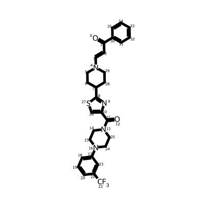 O=C(C=CN1CCC(c2nc(C(=O)N3CCN(c4cccc(C(F)(F)F)c4)CC3)cs2)CC1)c1ccccc1